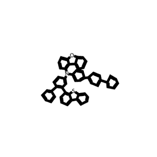 c1ccc(-c2ccc(-c3ccc(N(c4ccc(-c5ccccc5)c(-c5cccc6c5sc5ccccc56)c4)c4cccc5oc6ccccc6c45)cc3)cc2)cc1